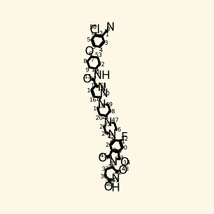 N#Cc1ccc(O[C@H]2CC[C@H](NC(=O)c3ccc(N4CCC(N5CCN(c6cc7c(cc6F)C(=O)N(C6CCC(=O)NC6=O)C7=O)CC5)CC4)nn3)CC2)cc1Cl